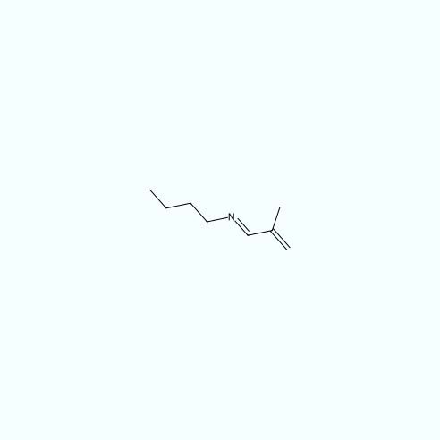 C=C(C)C=NCCCC